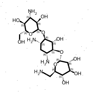 NC[C@H]1O[C@H](O[C@@H]2[C@@H](O)[C@H](O[C@H]3O[C@H](CO)[C@@H](O)[C@H](N)[C@H]3O)[C@@H](N)C[C@H]2N)[C@H](O)[C@@H](O)[C@@H]1O